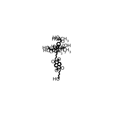 CC(C)(CO)COC(C)(C)C(OCCCCCN1C(=O)c2ccc3c4c(ccc(c24)C1=O)C(=O)N(CCCCCO)C3=O)(C(=O)C1CCC(C(=O)C(C)(CO)CO)CC1)C(C)(C)OCC(C)(O)CO